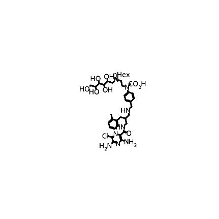 CCCCCCN(CCN(C(=O)O)c1ccc(CNCC(CNC(=O)c2nc(Cl)c(N)nc2N)Cc2ccccc2C)cc1)CC(O)C(O)C(O)C(O)CO